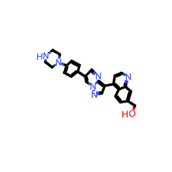 OCc1ccc2c(-c3cnn4cc(-c5ccc(N6CCNCC6)cc5)cnc34)ccnc2c1